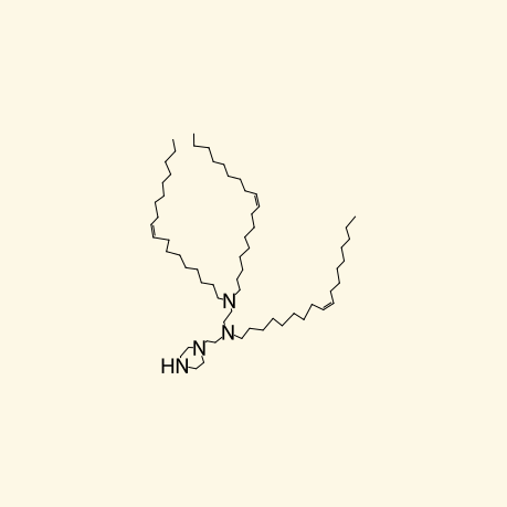 CCCCCCCC/C=C\CCCCCCCCN(CCCCCCCC/C=C\CCCCCCCC)CCN(CCCCCCCC/C=C\CCCCCCCC)CCN1CCNCC1